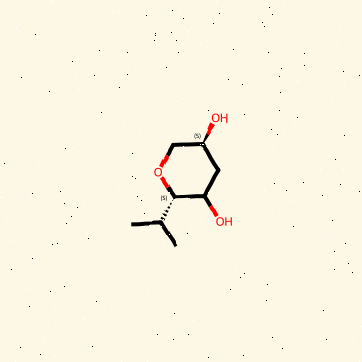 CC(C)[C@@H]1OC[C@@H](O)CC1O